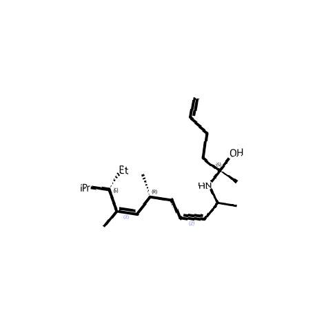 C=CCC[C@](C)(O)NC(C)/C=C\C[C@@H](C)/C=C(/C)[C@@H](CC)C(C)C